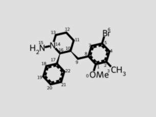 COc1c(C)cc(Br)cc1C[C@@H]1CCCN(N)[C@@H]1c1ccccc1